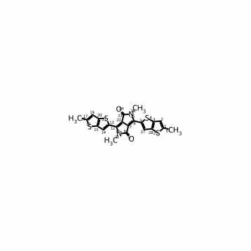 Cc1cc2sc(C3=C4C(=O)N(C)C(c5cc6sc(C)cc6s5)=C4C(=O)N3C)cc2s1